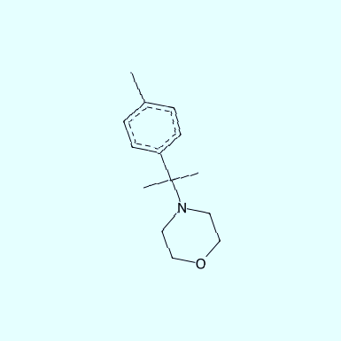 Cc1ccc(C(C)(C)N2CCOCC2)cc1